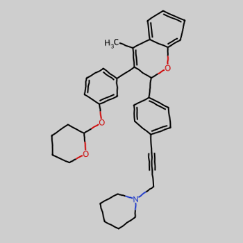 CC1=C(c2cccc(OC3CCCCO3)c2)C(c2ccc(C#CCN3CCCCC3)cc2)Oc2ccccc21